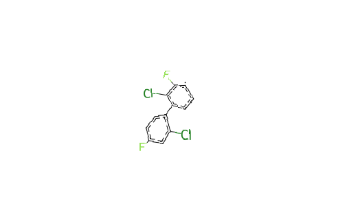 Fc1ccc(-c2cc[c]c(F)c2Cl)c(Cl)c1